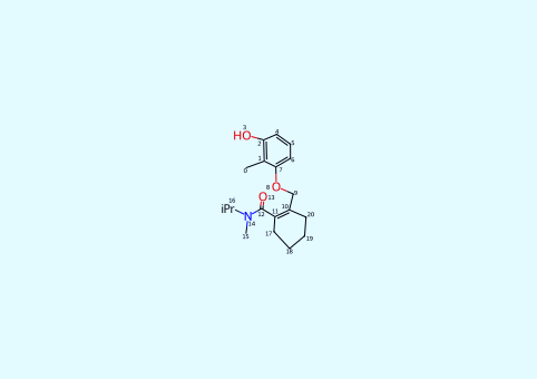 Cc1c(O)cccc1OCC1=C(C(=O)N(C)C(C)C)CCCC1